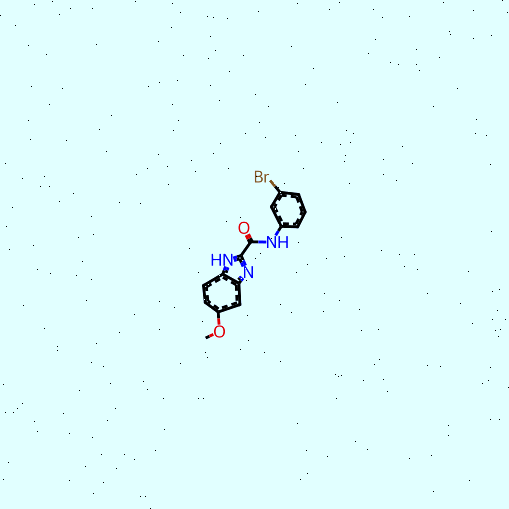 COc1ccc2[nH]c(C(=O)Nc3cccc(Br)c3)nc2c1